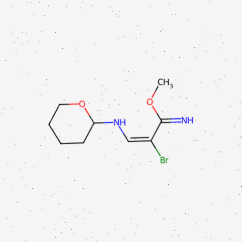 COC(=N)/C(Br)=C\NC1CCCCO1